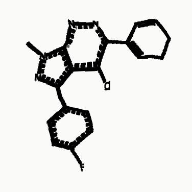 Cn1nc(-c2ccc(F)cc2)c2c(Cl)c(C3=CCCC=C3)nnc21